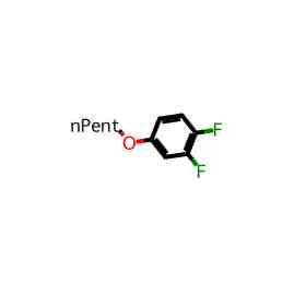 CCCCCOc1ccc(F)c(F)c1